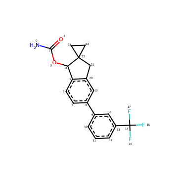 NC(=O)OC1c2ccc(-c3cccc(C(F)(F)F)c3)cc2CC12CC2